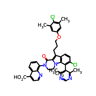 Cc1cc(OCCCc2c3n(c4c(-c5c(C)ncnc5C)c(Cl)ccc24)[C@H](C)CN(c2cccc4c(C(=O)O)ccnc24)C3=O)cc(C)c1Cl